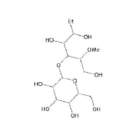 CCC(O)C(O)C(OC1OC(CO)C(O)C(O)C1O)C(CO)OC